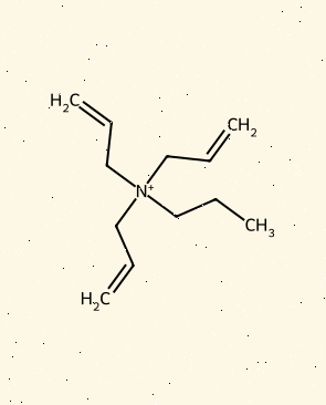 C=CC[N+](CC=C)(CC=C)CCC